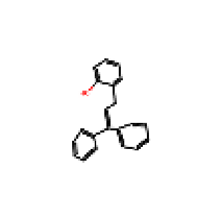 Oc1ccccc1CC=C(c1ccccc1)c1ccccc1